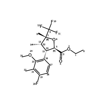 CCOC(=O)[C@@H]1O[C@@](C)(C(F)(F)F)[C@@H](C)[C@H]1c1ccc(F)c(C)c1OC